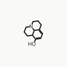 OC1=CC=C2CCCN3CCCC1C23